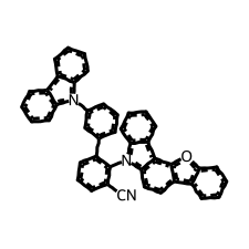 N#Cc1cccc(-c2cccc(-n3c4ccccc4c4ccccc43)c2)c1-n1c2ccccc2c2c3oc4ccccc4c3ccc21